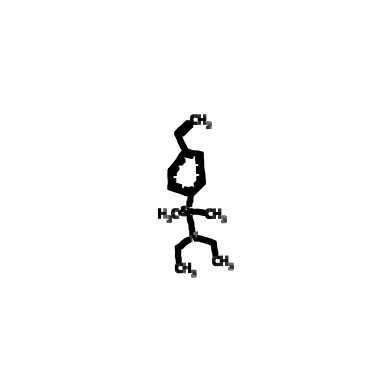 C=Cc1ccc([Si](C)(C)N(CC)CC)cc1